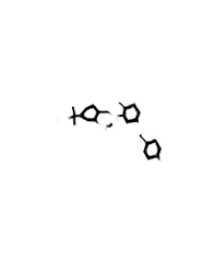 Cc1ccc(OCc2ccc(F)cc2F)cc1N1Cc2ccc(C(C)(C)O)cc2NC1=O